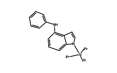 CC(C)[Si](C(C)C)(C(C)C)n1ccc2c(Nc3ccccc3)cccc21